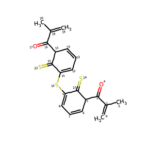 C=C(C)C(=O)C1C=CC=C(SC2=CC=CC(C(=O)C(=C)C)C2=S)C1=S